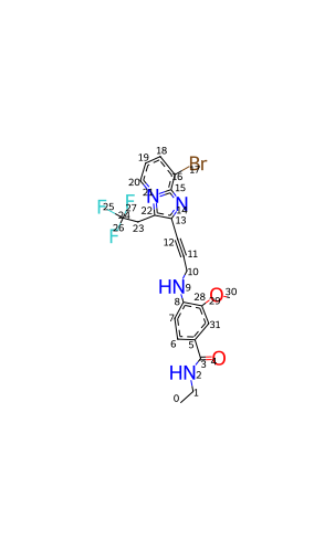 CCNC(=O)c1ccc(NCC#Cc2nc3c(Br)cccn3c2CC(F)(F)F)c(OC)c1